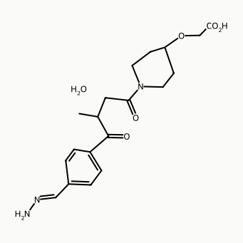 CC(CC(=O)N1CCC(OCC(=O)O)CC1)C(=O)c1ccc(C=NN)cc1.O